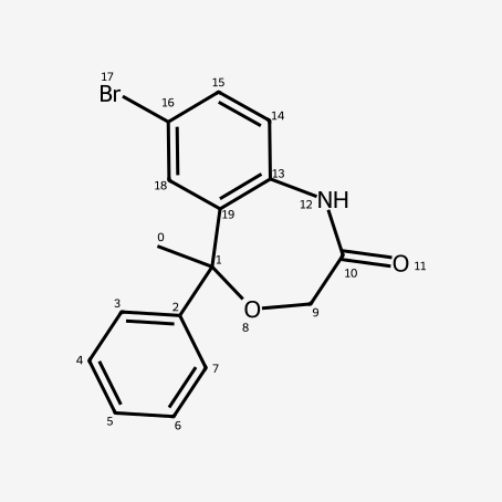 CC1(c2ccccc2)OCC(=O)Nc2ccc(Br)cc21